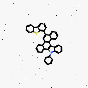 C1=CC2Sc3c(-c4cc5c6ccccc6c6c(c7ccccc7n6-c6ccccc6)c5c5ccccc45)cccc3C2C=C1